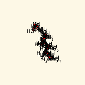 CNC(=O)CN(C[C@@H](NC(=O)CN(C[C@H](CC(C)C)NC(=O)CN(C[C@H](CCCNC(=N)N)NC(=O)CN(C[C@H](CCCNC(=N)N)NC(=O)CN(C[C@H](CCC(=O)O)NC(=O)CCNC(=S)Nc1ccc(C2c3ccc(O)cc3Oc3cc(O)ccc32)c(C(=O)O)c1)S(C)(=O)=O)S(C)(=O)=O)S(C)(=O)=O)S(=O)(=O)CCN)C(C)O)S(=O)(=O)CC(C)C